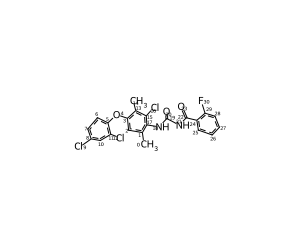 Cc1cc(Oc2ccc(Cl)cc2Cl)c(C)c(Cl)c1NC(=O)NC(=O)c1ccccc1F